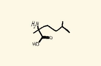 CC(C)CCC(C)(N)C(=O)O